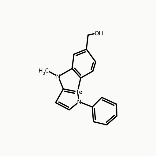 CN1C2=[Te](c3ccc(CO)cc31)N(c1ccccc1)C=C2